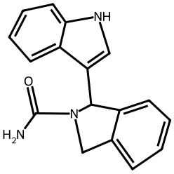 NC(=O)N1Cc2ccccc2C1c1c[nH]c2ccccc12